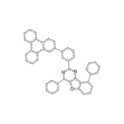 c1ccc(-c2nc(-c3cccc(-c4ccc5c6ccccc6c6ccccc6c5c4)c3)nc3c2oc2cccc(-c4ccccc4)c23)cc1